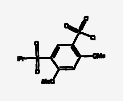 COc1cc(OC)c(S(=O)(=O)C(C)C)cc1S(=O)(=O)Cl